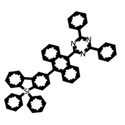 c1ccc(-c2nc(-c3ccccc3)nc(-c3c4ccccc4c(-c4ccc5c(c4)-c4ccccc4[Si]5(c4ccccc4)c4ccccc4)c4ccccc34)n2)cc1